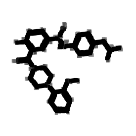 COc1ccccc1N1CCN(C(=O)c2cc([S+]([O-])Nc3ccc(CC(C)C)cc3)ccc2C)CC1